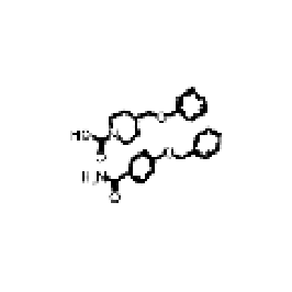 NC(=O)c1ccc(OCc2ccccc2)cc1.O=C(O)N1CCC(COc2ccccc2)CC1